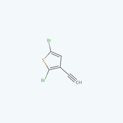 C#Cc1cc(Br)sc1Br